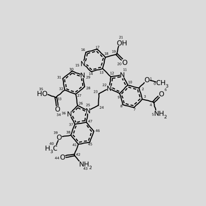 COc1c(C(N)=O)ccc2c1nc(-c1cnccc1C(=O)O)n2CCn1c(-c2cnccc2C(=O)O)nc2c(OC)c(C(N)=O)ccc21